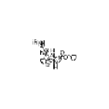 CC(C)n1cc(-c2nc3c4cccc(Br)c4nc(N[C@@H]4CN(C(=O)OCc5ccccc5)CCNC4=O)n3n2)cn1